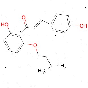 CC(C)CCOc1cccc(O)c1C(=O)C=Cc1ccc(O)cc1